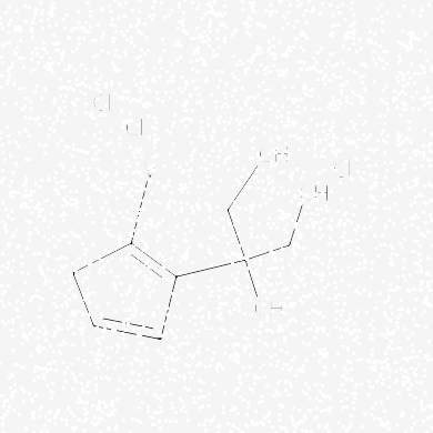 CCC(C)(CC)C1=[C]([V+3])CC=C1.[Cl-].[Cl-].[Cl-]